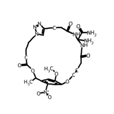 COc1cc2c([N+](=O)[O-])cc1OCCCC(=O)NC(N)(C(N)=O)NC(=O)CCc1cn(nn1)CCCC(=O)OC2C